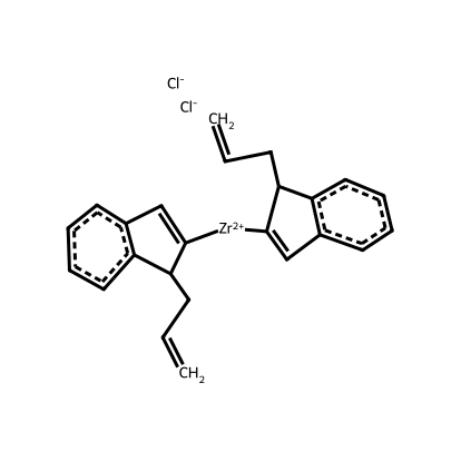 C=CCC1[C]([Zr+2][C]2=Cc3ccccc3C2CC=C)=Cc2ccccc21.[Cl-].[Cl-]